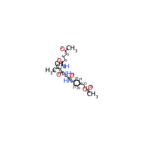 CC(=O)CCCC(=O)NC(C(=O)NCC(=O)Nc1ccc(COC(C)=O)cc1)C(C)C